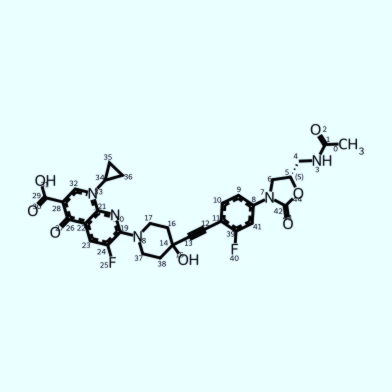 CC(=O)NC[C@H]1CN(c2ccc(C#CC3(O)CCN(c4nc5c(cc4F)c(=O)c(C(=O)O)cn5C4CC4)CC3)c(F)c2)C(=O)O1